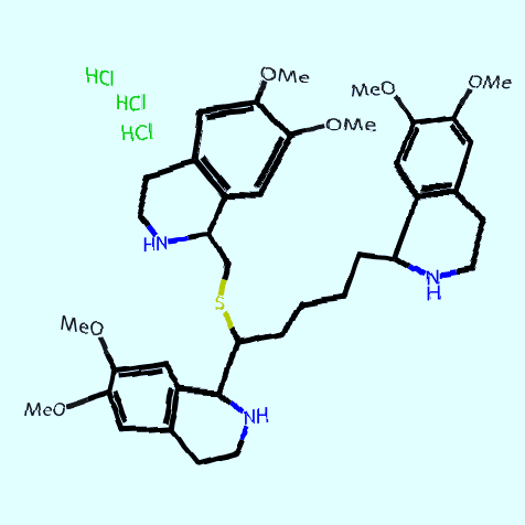 COc1cc2c(cc1OC)C(CCCCC(SCC1NCCc3cc(OC)c(OC)cc31)C1NCCc3cc(OC)c(OC)cc31)NCC2.Cl.Cl.Cl